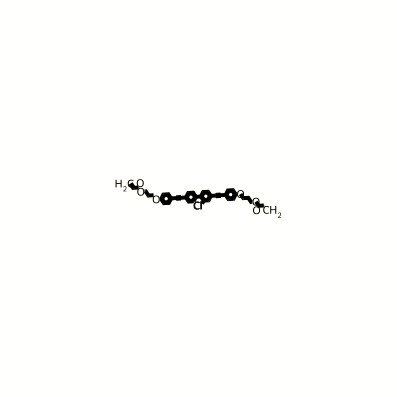 C=CC(=O)OCCCOc1ccc(C#Cc2ccc(-c3ccc(C#Cc4ccc(OCCCOC(=O)C=C)cc4)cc3Cl)c(Cl)c2)cc1